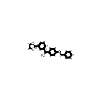 OC(c1ccc(OCc2ccccc2)cc1)c1cccc(C2OCCO2)c1